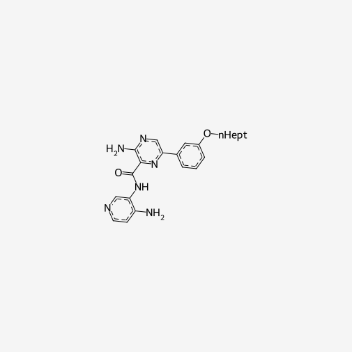 CCCCCCCOc1cccc(-c2cnc(N)c(C(=O)Nc3cnccc3N)n2)c1